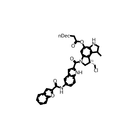 CCCCCCCCCCCC(=O)Oc1cc2c(c3c1NCC3C)[C@H](CCl)CN2C(=O)c1cc2cc(NC(=O)c3cc4ccccc4o3)ccc2[nH]1